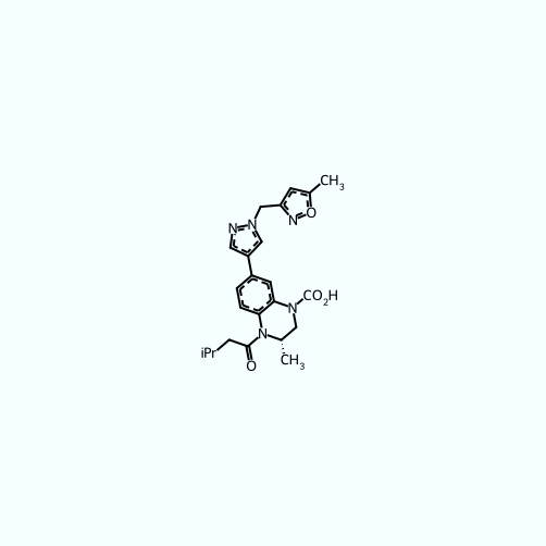 Cc1cc(Cn2cc(-c3ccc4c(c3)N(C(=O)O)C[C@H](C)N4C(=O)CC(C)C)cn2)no1